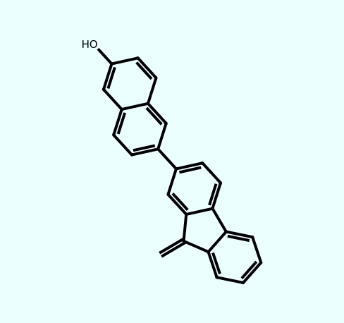 C=C1c2ccccc2-c2ccc(-c3ccc4cc(O)ccc4c3)cc21